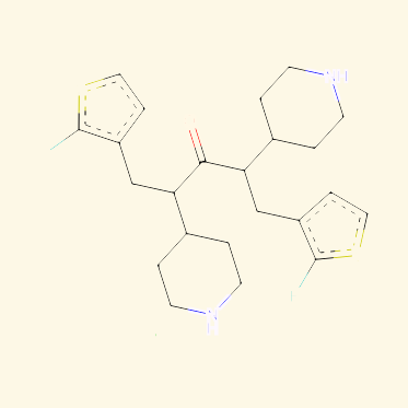 Cl.O=C(C(Cc1ccsc1F)C1CCNCC1)C(Cc1ccsc1F)C1CCNCC1